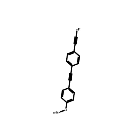 CCCC#Cc1ccc(C#Cc2ccc(OCCCCCC)cc2)cc1